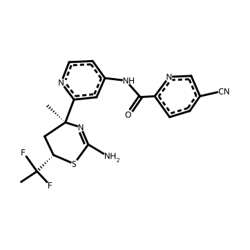 CC(F)(F)[C@@H]1C[C@@](C)(c2cc(NC(=O)c3ccc(C#N)cn3)ccn2)N=C(N)S1